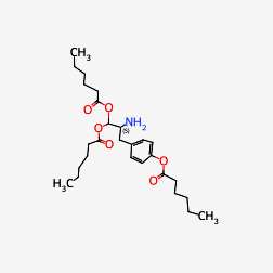 CCCCCC(=O)Oc1ccc(C[C@H](N)C(OC(=O)CCCCC)OC(=O)CCCCC)cc1